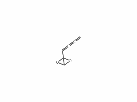 C=C=C=CC12OC1O2